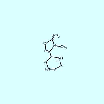 CN1C(N)OCC1C1CNCCN1